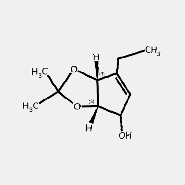 CCC1=CC(O)[C@@H]2OC(C)(C)O[C@H]12